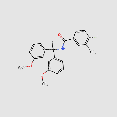 CC(NC(=O)c1ccc(F)c(C(F)(F)F)c1)(c1cccc(OC(F)(F)F)c1)c1cccc(OC(F)(F)F)c1